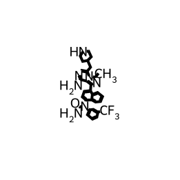 Cc1nc(-c2ccc(N(C(N)=O)c3cccc(C(F)(F)F)c3)c3ccccc23)c2c(N)ncc(CC3CCNCC3)n12